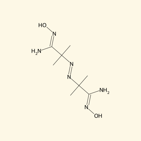 CC(C)(N=NC(C)(C)C(N)=NO)C(N)=NO